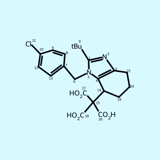 CC(C)(C)c1nc2c(n1Cc1ccc(Cl)cc1)C(C(C(=O)O)(C(=O)O)C(=O)O)CCC2